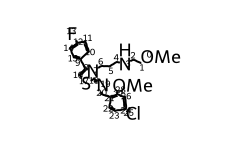 COCCNCCCn1c(-c2ccc(F)cc2)cs/c1=N\Cc1ccc(Cl)cc1OC